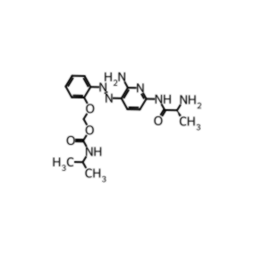 CC(C)NC(=O)OCOc1ccccc1/N=N/c1ccc(NC(=O)[C@H](C)N)nc1N